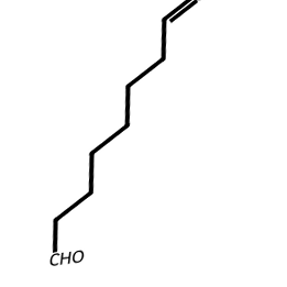 O=CCCCCCCC=S